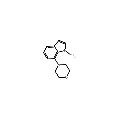 Cn1ccc2cccc(N3CCOCC3)c21